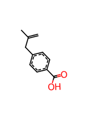 C=C(C)Cc1ccc(C(=O)O)cc1